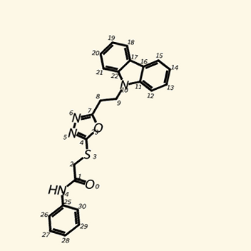 O=C(CSc1nnc(CCn2c3ccccc3c3ccccc32)o1)Nc1ccccc1